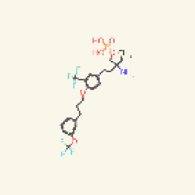 CCC(N)(CCc1ccc(OCCCc2cccc(OC(F)(F)F)c2)c(C(F)(F)F)c1)COP(=O)(O)O